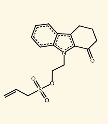 C=CCS(=O)(=O)OCCn1c2c(c3ccccc31)CCCC2=O